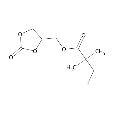 CC(C)(CI)C(=O)OCC1COC(=O)O1